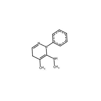 CNC1=C(C)CC=NN1c1ccccc1